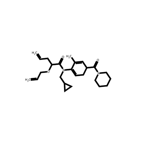 C=CCOC(CC=C)C(=O)N(CC1CC1)C1=CCC(C(=O)N2CCCCC2)C=C1C